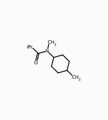 CC1CCC(N(C)C(=O)C(C)C)CC1